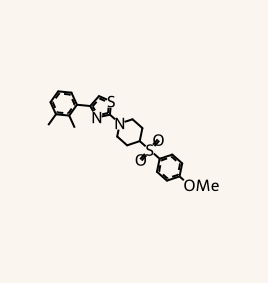 COc1ccc(S(=O)(=O)C2CCN(c3nc(-c4cccc(C)c4C)cs3)CC2)cc1